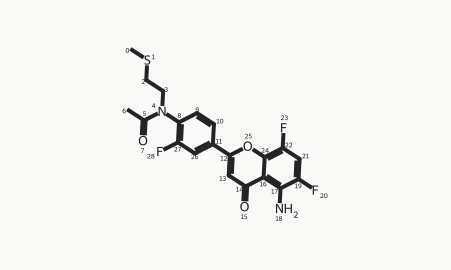 CSCCN(C(C)=O)c1ccc(-c2cc(=O)c3c(N)c(F)cc(F)c3o2)cc1F